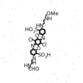 COCNCCNc1ccc2c(c1S(=O)(=O)O)Oc1c(Cl)c3c(c(Cl)c1=N2)Oc1c(ccc(NCCNC=O)c1S(=O)(=O)O)N=3